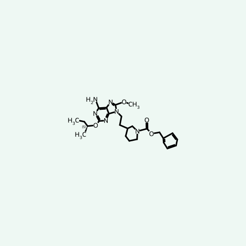 CC[C@H](C)Oc1nc(N)c2nc(OC)n(CCC3CCCN(C(=O)OCc4ccccc4)C3)c2n1